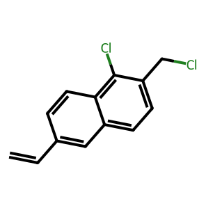 C=Cc1ccc2c(Cl)c(CCl)ccc2c1